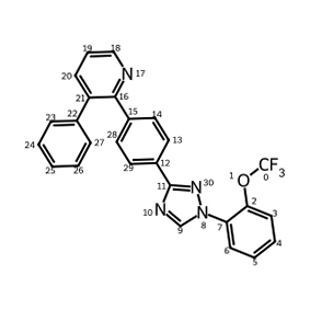 FC(F)(F)Oc1ccccc1-n1cnc(-c2ccc(-c3ncccc3-c3ccccc3)cc2)n1